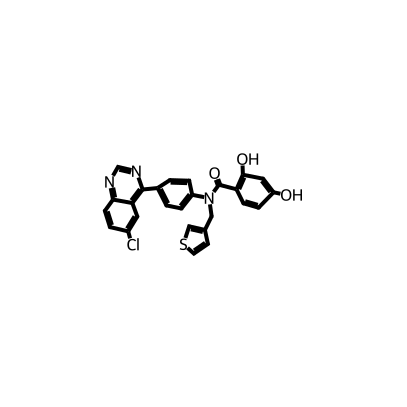 O=C(c1ccc(O)cc1O)N(Cc1ccsc1)c1ccc(-c2ncnc3ccc(Cl)cc23)cc1